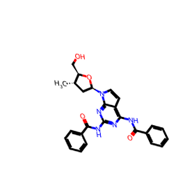 C[C@H]1C[C@H](n2ccc3c(NC(=O)c4ccccc4)nc(NC(=O)c4ccccc4)nc32)O[C@@H]1CO